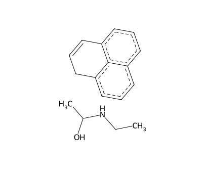 C1=Cc2cccc3cccc(c23)C1.CCNC(C)O